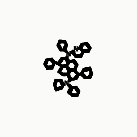 C1=C(c2ccccc2)c2ccc3c(N(c4ccccc4)c4ccc5ccccc5n4)cc(-c4ccccc4)c4c3c2C(=CC4)C1N(c1ccccc1)c1ccccc1